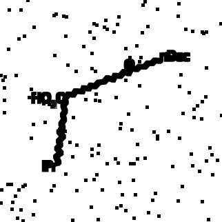 CCCCCCCCCCCCCCCCCC(=O)CCCCCCCCCCCCCCCCC(CCCCCCCCCCCCCCCC(C)C)C(=O)O